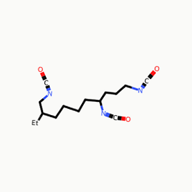 CCC(CCCCC(CCCN=C=O)N=C=O)CN=C=O